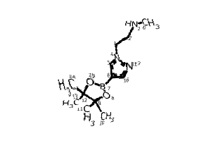 CNCCn1cc(B2OC(C)(C)C(C)(C)O2)cn1